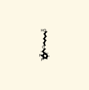 OCCCCCCCOCCc1cccc(F)c1F